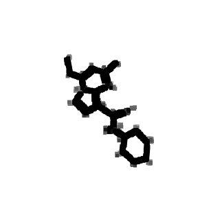 CCc1cc(C)nc2c(C(=O)NC3CCCCC3)ccn12